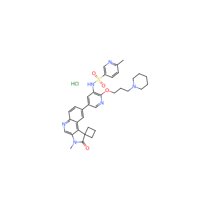 Cc1ccc(S(=O)(=O)Nc2cc(-c3ccc4ncc5c(c4c3)C3(CCC3)C(=O)N5C)cnc2OCCCN2CCCCC2)cn1.Cl